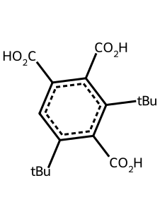 CC(C)(C)c1cc(C(=O)O)c(C(=O)O)c(C(C)(C)C)c1C(=O)O